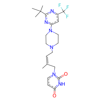 CC(=CCN1CCN(c2cc(C(F)(F)F)nc(C(C)(C)C)n2)CC1)Cn1ccc(=O)[nH]c1=O